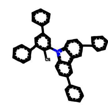 N#Cc1c(-c2ccccc2)cc(-c2ccccc2)cc1-n1c2ccc(-c3ccccc3)cc2c2cc(-c3ccccc3)ccc21